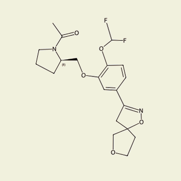 CC(=O)N1CCC[C@@H]1COc1cc(C2=NOC3(CCOC3)C2)ccc1OC(F)F